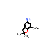 COc1cc(N)cc2c1OC(C)(C)C2